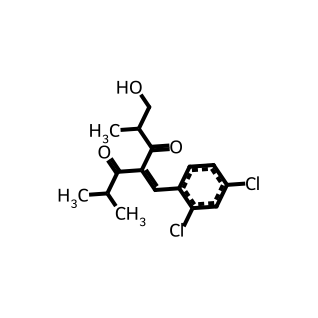 CC(C)C(=O)C(=Cc1ccc(Cl)cc1Cl)C(=O)C(C)CO